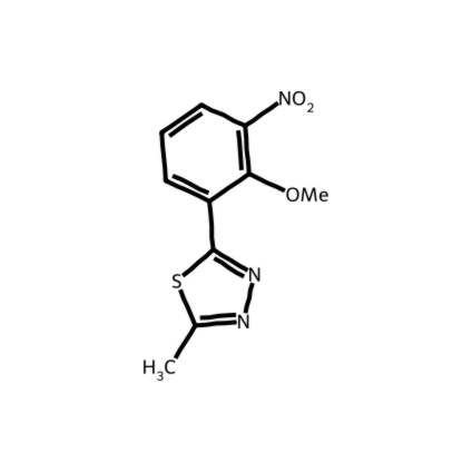 COc1c(-c2nnc(C)s2)cccc1[N+](=O)[O-]